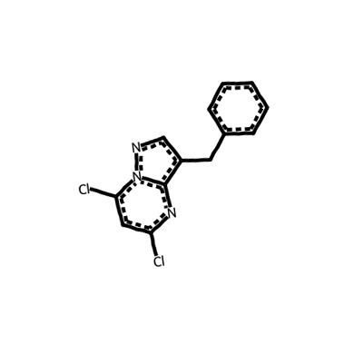 Clc1cc(Cl)n2ncc(Cc3ccccc3)c2n1